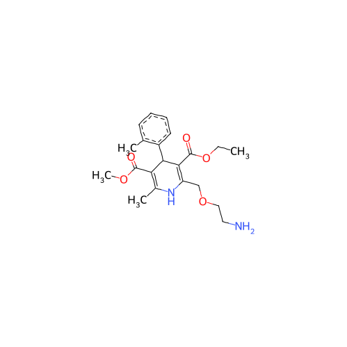 CCOC(=O)C1=C(COCCN)NC(C)=C(C(=O)OC)C1c1ccccc1C